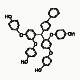 Oc1ccc(Oc2ccc(C(c3ccc(-c4ccccc4)cc3)c3ccc(Oc4ccc(O)cc4)cc3Oc3ccc(O)cc3)c(Oc3ccc(O)cc3)c2)cc1